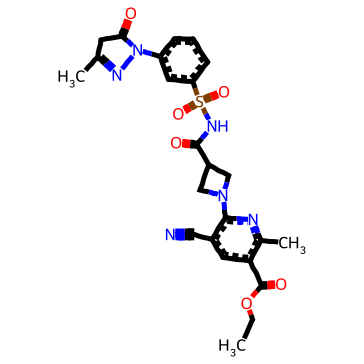 CCOC(=O)c1cc(C#N)c(N2CC(C(=O)NS(=O)(=O)c3cccc(N4N=C(C)CC4=O)c3)C2)nc1C